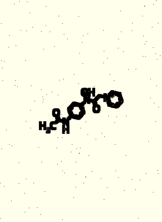 CC(=O)Nc1ccc(N(O)C(=O)C[n+]2ccccc2)cc1